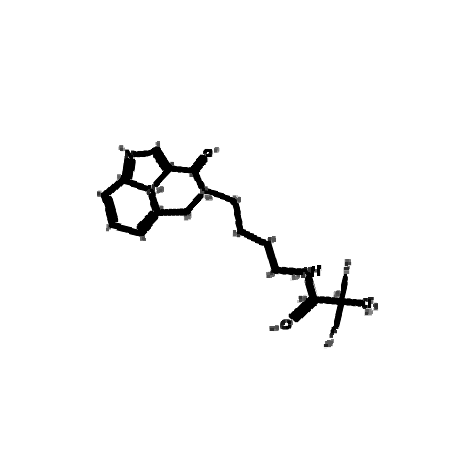 O=C1c2cnc3cccc(n23)CN1CCCCNC(=O)C(F)(F)C(F)(F)F